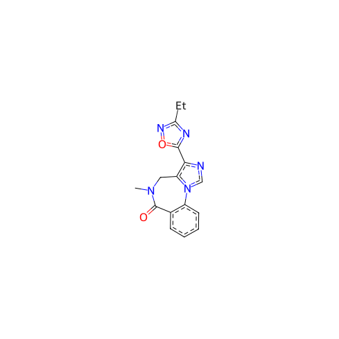 CCc1noc(-c2ncn3c2CN(C)C(=O)c2ccccc2-3)n1